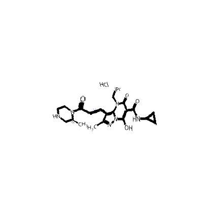 Cc1nn2c(O)c(C(=O)NC3CC3)c(=O)n(CC(C)C)c2c1/C=C/C(=O)N1CCNC[C@@H]1C.Cl